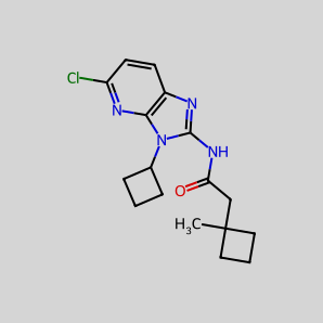 CC1(CC(=O)Nc2nc3ccc(Cl)nc3n2C2CCC2)CCC1